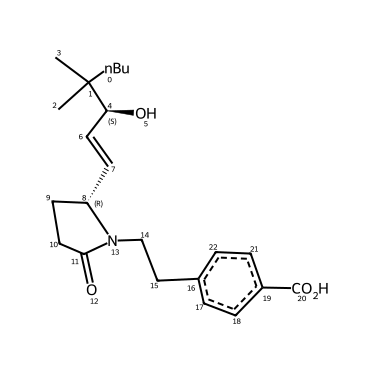 CCCCC(C)(C)[C@@H](O)C=C[C@H]1CCC(=O)N1CCc1ccc(C(=O)O)cc1